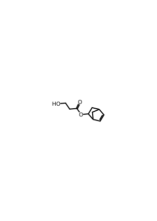 O=C(CCO)OC1CC2C=CC1C2